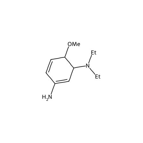 CCN(CC)C1C=C(N)C=CC1OC